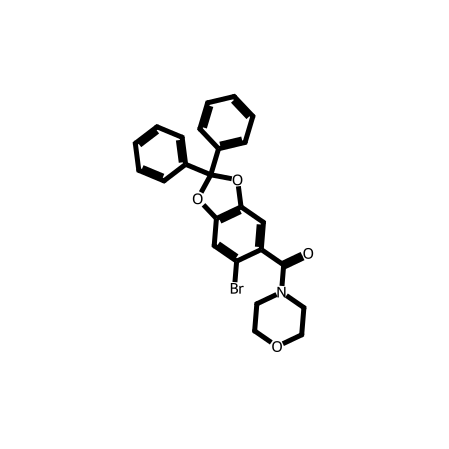 O=C(c1cc2c(cc1Br)OC(c1ccccc1)(c1ccccc1)O2)N1CCOCC1